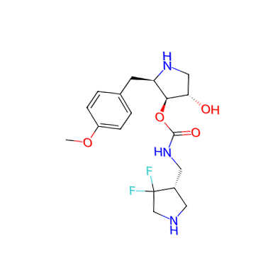 COc1ccc(C[C@H]2NC[C@H](O)[C@H]2OC(=O)NC[C@@H]2CNCC2(F)F)cc1